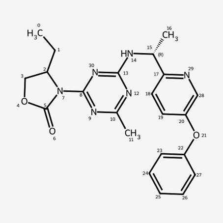 CCC1COC(=O)N1c1nc(C)nc(N[C@H](C)c2ccc(Oc3ccccc3)cn2)n1